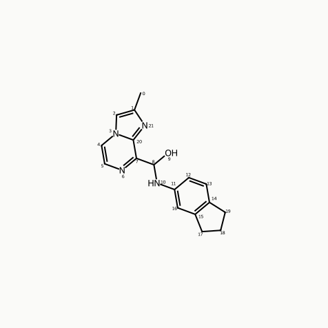 Cc1cn2ccnc(C(O)Nc3ccc4c(c3)CCC4)c2n1